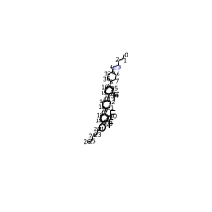 CCC/C=C/C1CCC(c2ccc(-c3ccc(-c4ccc(OCCCCC)c(F)c4F)cc3)c(F)c2)CC1